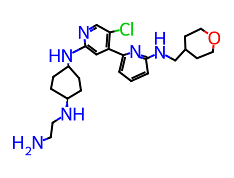 NCCN[C@H]1CC[C@H](Nc2cc(-c3cccc(NCC4CCOCC4)n3)c(Cl)cn2)CC1